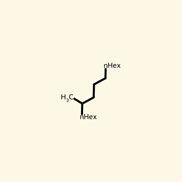 [CH2]CCCCCCCCC(C)CCCCCC